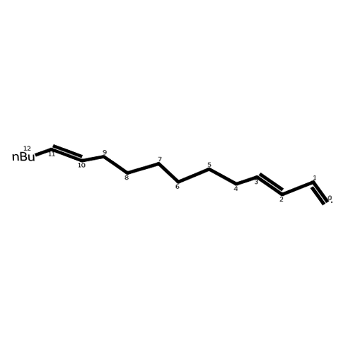 [CH]=CC=CCCCCCCC=CCCCC